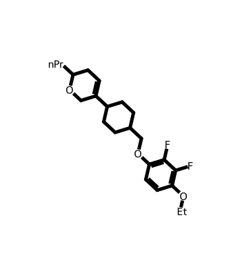 CCCC1CC=C(C2CCC(COc3ccc(OCC)c(F)c3F)CC2)CO1